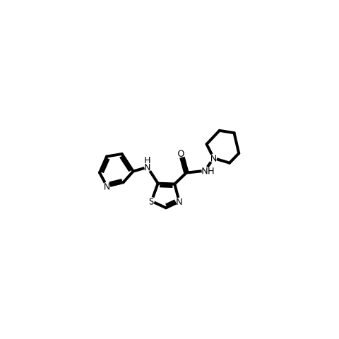 O=C(NN1CCCCC1)c1ncsc1Nc1cccnc1